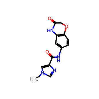 Cn1cnc(C(=O)Nc2ccc3c(c2)NC(=O)CO3)c1